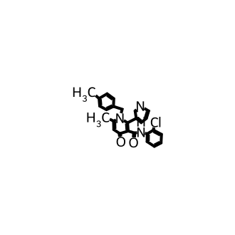 Cc1ccc(Cn2c(C)cc(=O)c(C(=O)Nc3ccccc3Cl)c2-c2cccnc2)cc1